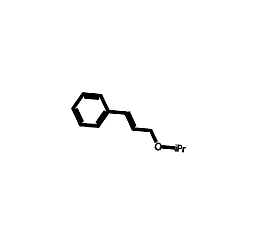 CC(C)OCC=Cc1ccccc1